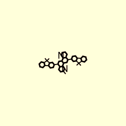 Cc1ccc2c(-c3ccc4c(c3)C(C)(C)c3ccccc3-4)cc3c(cc(-c4ccc5c(c4)C(C)(C)c4ccccc4-5)c4cccnc43)c2n1